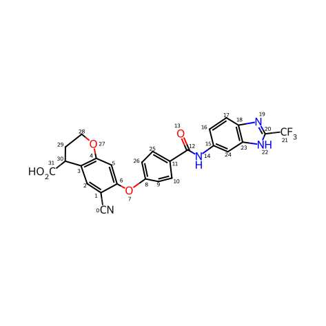 N#Cc1cc2c(cc1Oc1ccc(C(=O)Nc3ccc4nc(C(F)(F)F)[nH]c4c3)cc1)OCCC2C(=O)O